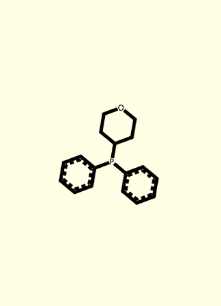 c1ccc(P(c2ccccc2)C2CCOCC2)cc1